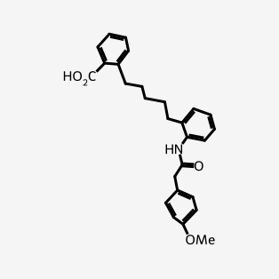 COc1ccc(CC(=O)Nc2ccccc2CCCCCc2ccccc2C(=O)O)cc1